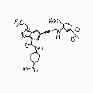 COc1ccc(S(C)(=O)=O)cc1NCC#Cc1cc(C(=O)NC2CCN(C(=O)C(C)C)CC2)c2ncn(CC(F)(F)F)c2c1